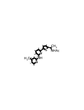 CC(=O)NC(C)c1ccc(-c2cccc(Nc3cc(C)ccn3)n2)s1